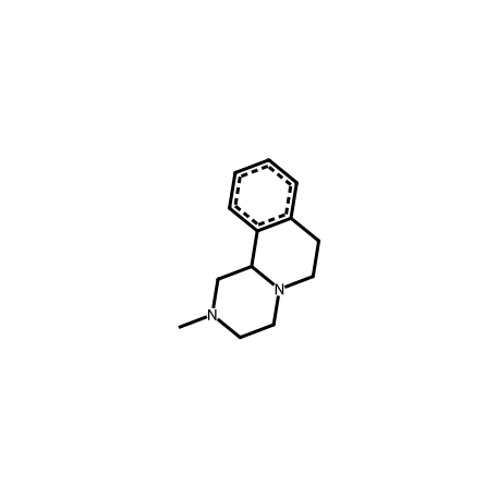 CN1CCN2CCc3ccccc3C2C1